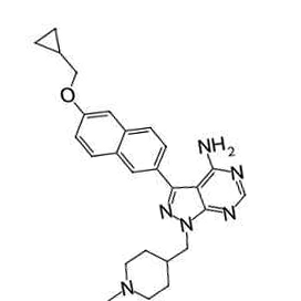 CN1CCC(Cn2nc(-c3ccc4cc(OCC5CC5)ccc4c3)c3c(N)ncnc32)CC1